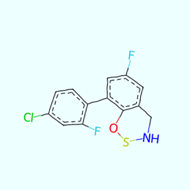 Fc1cc2c(c(-c3ccc(Cl)cc3F)c1)OSNC2